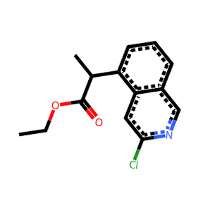 CCOC(=O)C(C)c1cccc2cnc(Cl)cc12